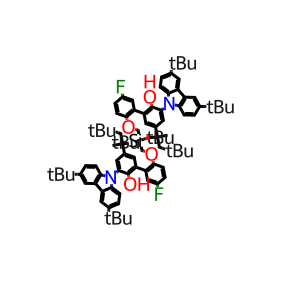 CC(C)(C)CC(C)(C)c1cc(-c2cc(F)ccc2OC[Si](COc2ccc(F)cc2-c2cc(C(C)(C)CC(C)(C)C)cc(-n3c4ccc(C(C)(C)C)cc4c4cc(C(C)(C)C)ccc43)c2O)(C(C)(C)C)C(C)(C)C)c(O)c(-n2c3ccc(C(C)(C)C)cc3c3cc(C(C)(C)C)ccc32)c1